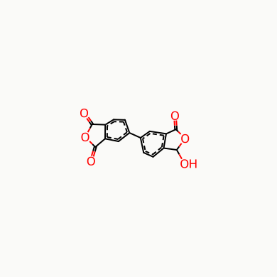 O=C1OC(=O)c2cc(-c3ccc4c(c3)C(=O)OC4O)ccc21